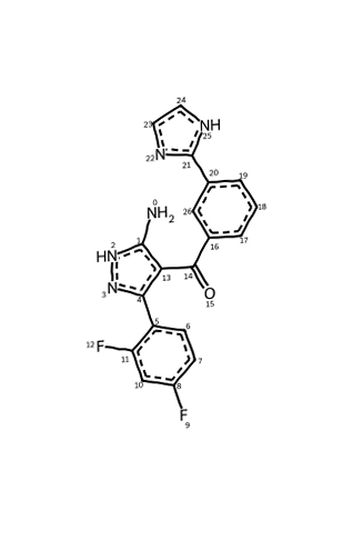 Nc1[nH]nc(-c2ccc(F)cc2F)c1C(=O)c1cccc(-c2ncc[nH]2)c1